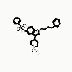 CN1CCC(c2cn(CCCCc3ccccc3)c3ccc(OS(=O)(=O)c4ccccc4)cc23)CC1